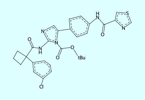 CC(C)(C)OC(=O)n1c(-c2ccc(NC(=O)c3cscn3)cc2)cnc1NC(=O)C1(c2cccc(Cl)c2)CCC1